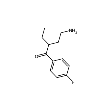 CCC(CCN)C(=O)c1ccc(F)cc1